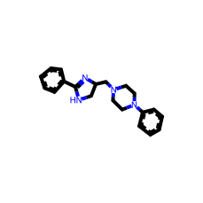 c1ccc(C2=NC(CN3CCN(c4ccccc4)CC3)CN2)cc1